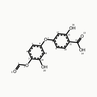 O=COc1ccc(Oc2ccc(C(=O)O)c(O)c2)cc1O